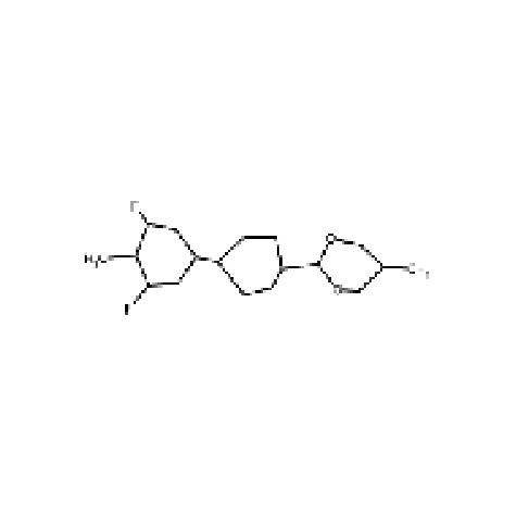 CC1COC(C2CCC(C3CC(F)C(C)C(F)C3)CC2)OC1